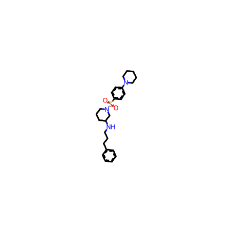 O=S(=O)(c1ccc(N2CCCCC2)cc1)N1CCCC(NCCCc2ccccc2)C1